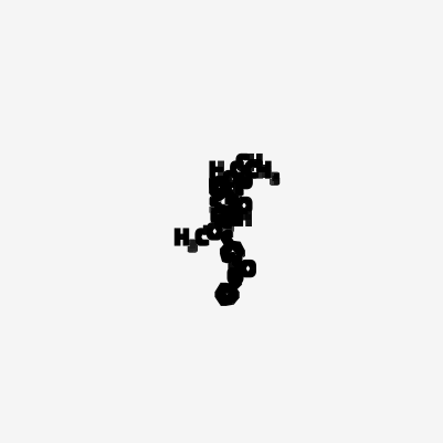 CCOC(=O)[C@@H](CCC1CCN(C(=O)OCc2ccccc2)CC1)NC1CSc2ccccc2N(CC(=O)OC(C)(C)C)C1=O